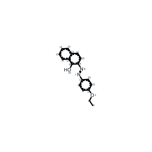 CCOc1ccc(N=Nc2ccc3ccccc3c2O)cc1